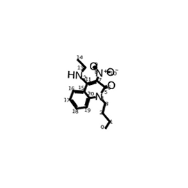 CCCCn1c(=O)c([N+](=O)[O-])c(NCC)c2ccccc21